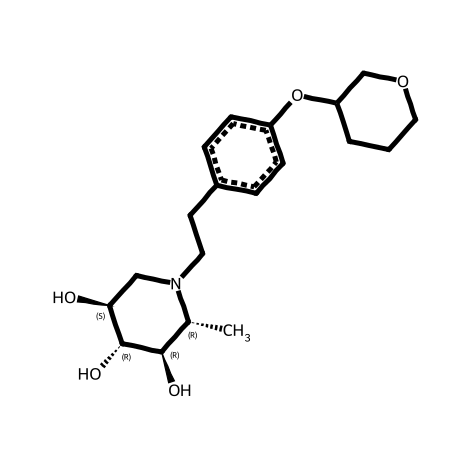 C[C@@H]1[C@@H](O)[C@H](O)[C@@H](O)CN1CCc1ccc(OC2CCCOC2)cc1